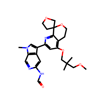 COCC(C)(C)COc1cc(-c2cn(C)c3cnc(NC=O)cc23)nc2c1CCOC21CCOC1